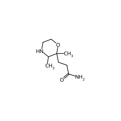 CC1NCCOC1(C)CCC(N)=O